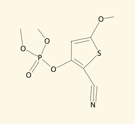 COc1cc(OP(=O)(OC)OC)c(C#N)s1